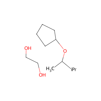 CC(C)C(C)OC1CCCC1.OCCO